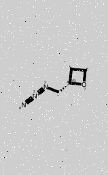 [N-]=[N+]=NC[C@@H]1CCO1